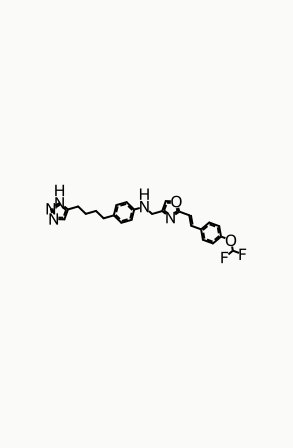 FC(F)Oc1ccc(C=Cc2nc(CNc3ccc(CCCCc4cnn[nH]4)cc3)co2)cc1